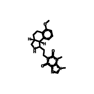 COc1cccc2c1CC[C@H]1CNC(CCn3c(=O)c4ncn(C)c4n(C)c3=O)[C@@H]21